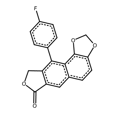 O=C1OCc2c1cc1ccc3c(c1c2-c1ccc(F)cc1)OCO3